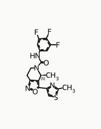 Cc1nc(-c2onc3c2[C@H](C)N(C(=O)Nc2cc(F)c(F)c(F)c2)CC3)cs1